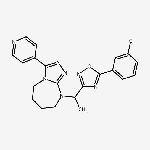 CC(c1noc(-c2cccc(Cl)c2)n1)N1CCCCn2c(-c3ccncc3)nnc21